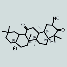 [C-]#[N+]C1C[C@]2(C)C3CC(=O)C4C5CC(C)(C)CC[C@]5(CC)CC[C@@]4(C)[C@]3(C)CC[C@H]2C(C)(C)C1=O